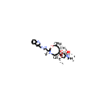 CCCN1C[C@H](C)C[C@@](C)(OC)[C@H](O[C@@H]2O[C@H](C)C[C@H](N(C)C)[C@H]2O)[C@H](C)CC(C)(C)COC=C1CCCNCc1cnc2ccccc2c1